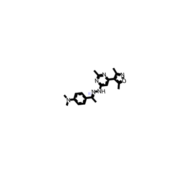 C/C(=N\Nc1cc(-c2c(C)noc2C)nc(C)n1)c1ccc(N(C)C)cc1